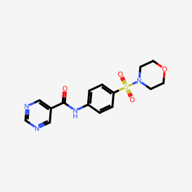 O=C(Nc1ccc(S(=O)(=O)N2CCOCC2)cc1)c1cncnc1